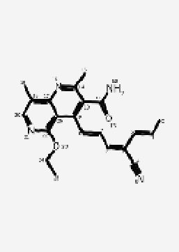 C/C=C/C(C#N)=C\C=C\c1c(C(N)=O)c(C)nc2c(C)cnc(OCC)c12